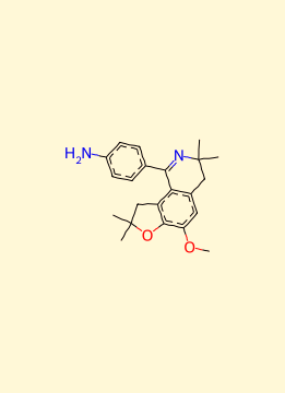 COc1cc2c(c3c1OC(C)(C)C3)C(c1ccc(N)cc1)=NC(C)(C)C2